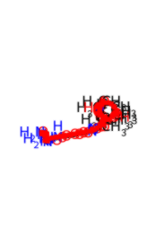 CO[C@H]1C[C@@H]2CC[C@@H](C)[C@@](O)(O2)C(=O)C(=O)N2CCCC[C@H]2C(=O)O[C@H]([C@H](C)C[C@@H]2CC[C@@H](OCCOCc3cn(CCOCCOCCOCCOCCCCCOCCOCCNC(=O)CCCCn4nc(-c5ccc6oc(N)nc6c5)c5c(N)ncnc54)nn3)[C@H](OC)C2)CC(=O)[C@H](C)/C=C(\C)[C@@H](O)[C@@H](OC)C(=O)[C@H](C)C[C@H](C)/C=C/C=C/C=C/1C